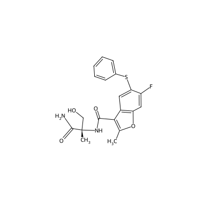 Cc1oc2cc(F)c(Sc3ccccc3)cc2c1C(=O)N[C@@](C)(CO)C(N)=O